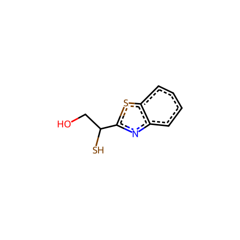 OCC(S)c1nc2ccccc2s1